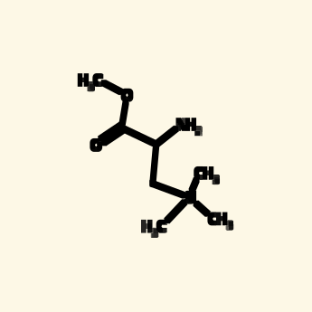 COC(=O)C(N)C[Si](C)(C)C